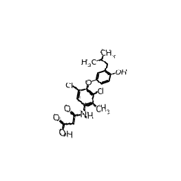 Cc1c(NC(=O)CC(=O)O)cc(Cl)c(Oc2ccc(O)c(CC(C)C)c2)c1Cl